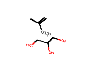 C=C(C)C(=O)OCC.OCC(O)CO